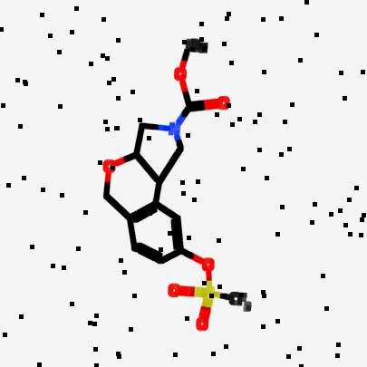 CC(C)(C)OC(=O)N1CC2OCc3ccc(OS(=O)(=O)C(F)(F)F)cc3C2C1